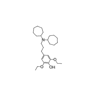 CCOc1cc(CCCN(C2CCCCCC2)C2CCCCCC2)cc(OCC)c1O